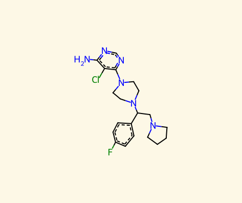 Nc1ncnc(N2CCN(C(CN3CCCC3)c3ccc(F)cc3)CC2)c1Cl